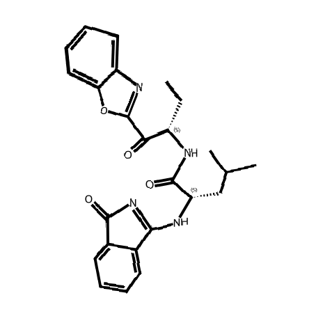 CC[C@H](NC(=O)[C@H](CC(C)C)NC1=NC(=O)c2ccccc21)C(=O)c1nc2ccccc2o1